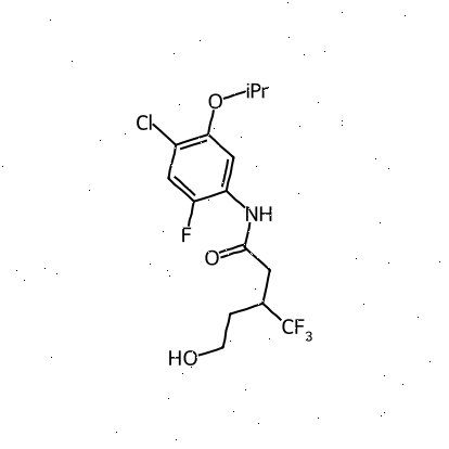 CC(C)Oc1cc(NC(=O)CC(CCO)C(F)(F)F)c(F)cc1Cl